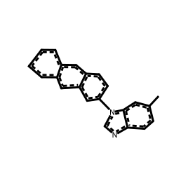 Cc1ccc2ncn(-c3ccc4cc5ccccc5cc4c3)c2c1